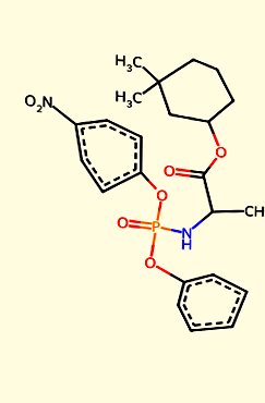 CC(NP(=O)(Oc1ccccc1)Oc1ccc([N+](=O)[O-])cc1)C(=O)OC1CCCC(C)(C)C1